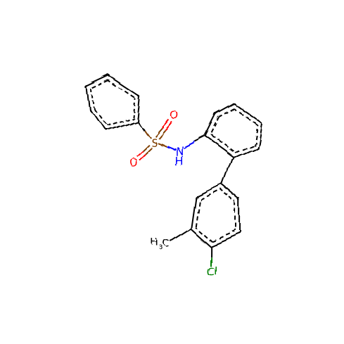 Cc1cc(-c2ccccc2NS(=O)(=O)c2ccccc2)ccc1Cl